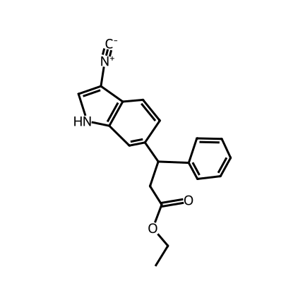 [C-]#[N+]c1c[nH]c2cc(C(CC(=O)OCC)c3ccccc3)ccc12